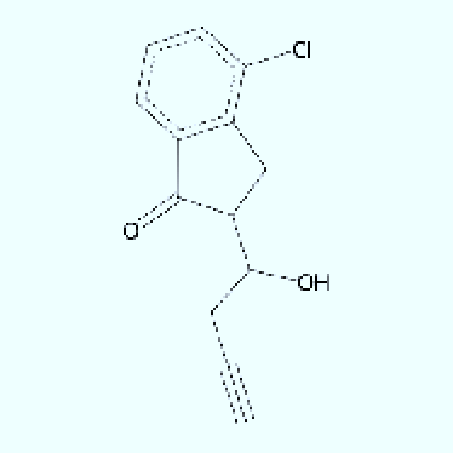 C#CCC(O)C1Cc2c(Cl)cccc2C1=O